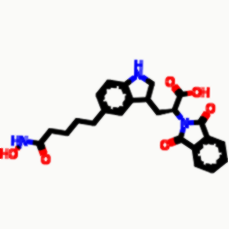 O=C(CCCCc1ccc2c(c1)C(C[C@@H](C(=O)O)N1C(=O)c3ccccc3C1=O)CN2)NO